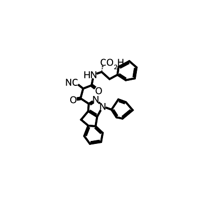 N#CC(C(=O)N[C@@H](Cc1ccccc1)C(=O)O)C(=O)c1nn(-c2ccccc2)c2c1Cc1ccccc1-2